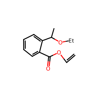 C=COC(=O)c1ccccc1C(C)OCC